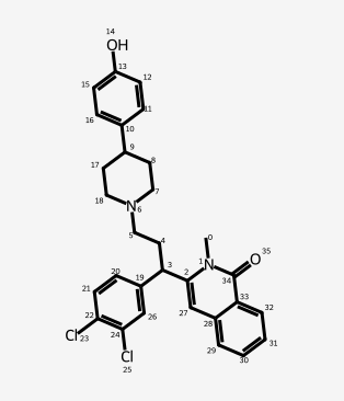 Cn1c(C(CCN2CCC(c3ccc(O)cc3)CC2)c2ccc(Cl)c(Cl)c2)cc2ccccc2c1=O